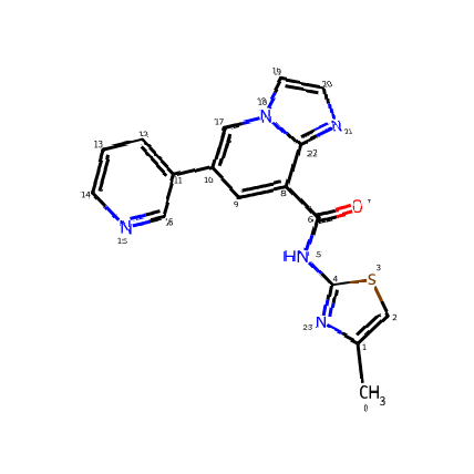 Cc1csc(NC(=O)c2cc(-c3cccnc3)cn3ccnc23)n1